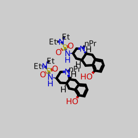 CCCN1C[C@@H](NS(=O)(=O)N(CC)CC)C[C@@H]2Cc3c(O)cccc3C[C@H]21.CCCN1C[C@@H](NS(=O)(=O)N(CC)CC)C[C@@H]2Cc3c(O)cccc3C[C@H]21